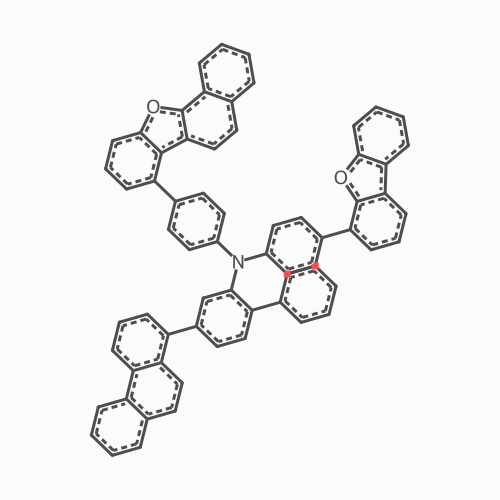 c1ccc(-c2ccc(-c3cccc4c3ccc3ccccc34)cc2N(c2ccc(-c3cccc4c3oc3ccccc34)cc2)c2ccc(-c3cccc4oc5c6ccccc6ccc5c34)cc2)cc1